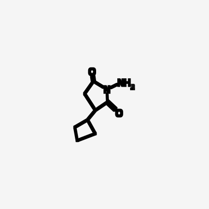 NN1C(=O)CC(C2CCC2)C1=O